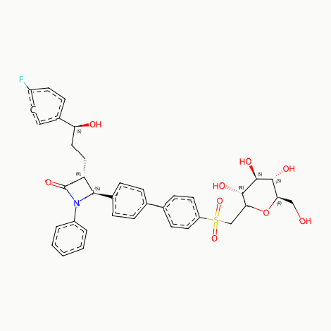 O=C1[C@H](CC[C@H](O)c2ccc(F)cc2)[C@@H](c2ccc(-c3ccc(S(=O)(=O)CC4O[C@H](CO)[C@@H](O)[C@H](O)[C@H]4O)cc3)cc2)N1c1ccccc1